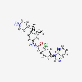 CC(c1ccc(NC(=O)Cc2ccc(-n3cnc4cccnc43)cc2Cl)cc1C(F)(F)F)C1CCNCC1